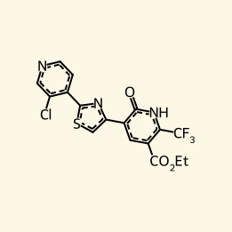 CCOC(=O)c1cc(-c2csc(-c3ccncc3Cl)n2)c(=O)[nH]c1C(F)(F)F